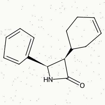 O=C1N[C@@H](c2ccccc2)[C@H]1C1CC=CCC1